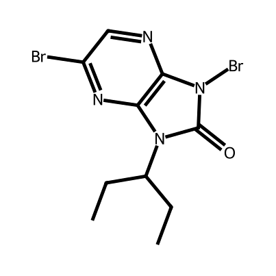 CCC(CC)n1c(=O)n(Br)c2ncc(Br)nc21